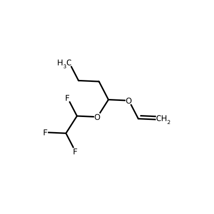 C=COC(CCC)OC(F)C(F)F